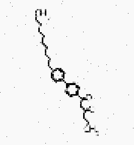 CCCCCCCCCCc1ccc(-c2ccc(C(=O)CC(=O)CCC)cc2)cc1